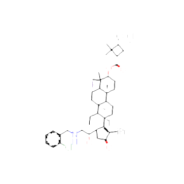 CC(C)C1=C2[C@H]3CC[C@]4(C)[C@@]5(C)CC[C@H](OC(=O)[C@H]6C[C@@H](C(=O)O)C6(C)C)C(C)(C)[C@]5(I)CC[C@@]4(C)[C@]3(C)CC[C@@]2([C@@H](O)CNCc2ccccc2Cl)CC1=O